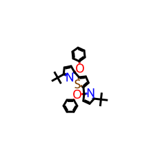 CC(C)(C)C1=NC(Oc2ccccc2)(c2ccc(C3(Oc4ccccc4)C=CC(C(C)(C)C)=N3)s2)C=C1